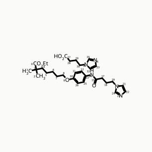 CCOC(=O)C(C)(C)CCCCCOc1ccc(NC(=O)CCCn2ccnc2)cc1.O=C(O)CCCn1ccnc1